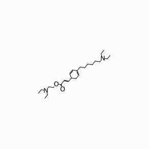 CCN(CC)CCCCCCC1=CCC(C=CC(=O)OCCN(CC)CC)C=C1